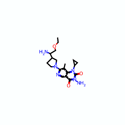 CCOCC(N)C1CCN(c2ncc3c(=O)n(N)c(=O)n(C4CC4)c3c2C)C1